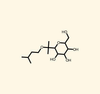 CC(C)CCOC(C)(C)C1OC(CO)C(O)C(O)C1O